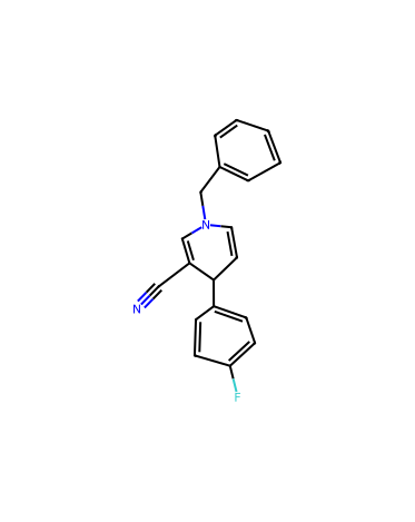 N#CC1=CN(Cc2ccccc2)C=CC1c1ccc(F)cc1